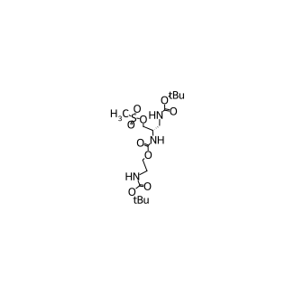 CC(C)(C)OC(=O)NCCOC(=O)N[C@@H](CNC(=O)OC(C)(C)C)COS(C)(=O)=O